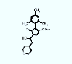 COC1=C(c2c(C)cc(C)cc2C)C(=O)C(C(O)CC2CCOCC2)C1